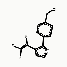 FC(F)=C(F)c1ccsc1-c1ccc(CCl)cc1